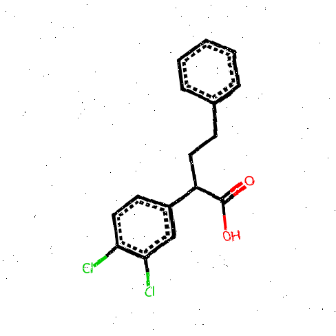 O=C(O)C(CCc1ccccc1)c1ccc(Cl)c(Cl)c1